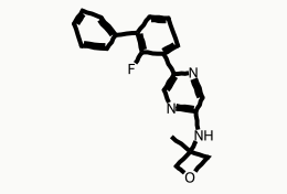 CC1(Nc2cnc(-c3cccc(-c4ccccc4)c3F)cn2)COC1